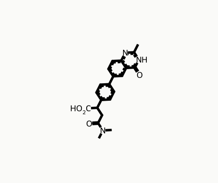 Cc1nc2ccc(-c3ccc(C(CC(=O)N(C)C)C(=O)O)cc3)cc2c(=O)[nH]1